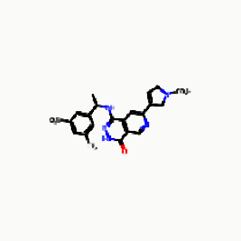 CC(Nc1n[nH]c(=O)c2cnc(C3=CCN(C(=O)O)C3)cc12)c1cc([N+](=O)[O-])cc(C(F)(F)F)c1